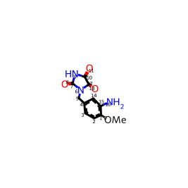 COc1ccc(CN2C(=O)NC(=O)C2=O)cc1N